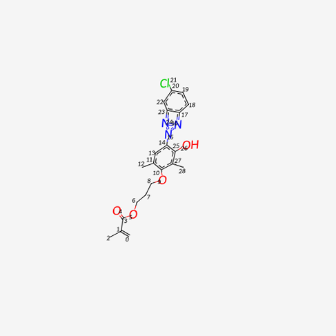 C=C(C)C(=O)OCCCOc1c(C)cc(-n2n3c4ccc(Cl)cc4n23)c(O)c1C